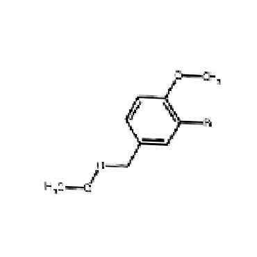 COOCc1ccc(OC)c(Br)c1